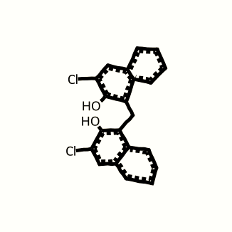 Oc1c(Cl)cc2ccccc2c1Cc1c(O)c(Cl)cc2ccccc12